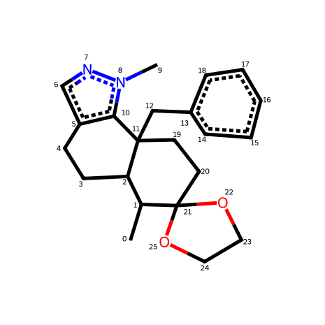 CC1C2CCc3cnn(C)c3C2(Cc2ccccc2)CCC12OCCO2